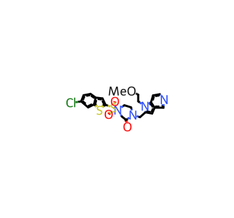 COCCn1c(CN2CCN(S(=O)(=O)c3cc4ccc(Cl)cc4s3)CC2=O)cc2cnccc21